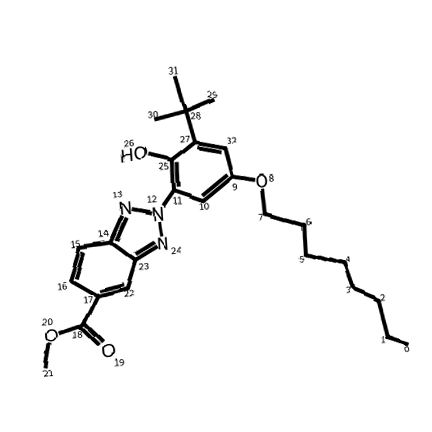 CCCCCCCCOc1cc(-n2nc3ccc(C(=O)OC)cc3n2)c(O)c(C(C)(C)C)c1